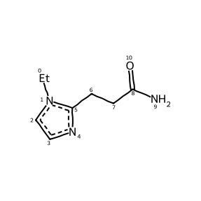 CCn1ccnc1CCC(N)=O